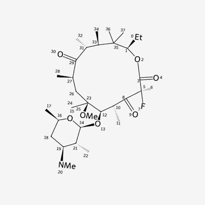 CC[C@H]1OC(=O)[C@@](C)(F)C(=O)[C@H](C)[C@@H](O[C@@H]2O[C@H](C)C[C@H](NC)[C@H]2C)[C@@](C)(OC)C[C@@H](C)C(=O)[C@H](C)[C@@H](C)C1(C)C